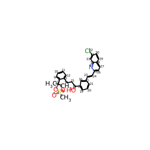 CC(C)(OS(C)(=O)=O)c1ccccc1CC[C@H](O)c1cccc(C=Cc2ccc3ccc(Cl)cc3n2)c1